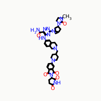 CN1CCN(C2CC3CC2N(c2nnc(C(N)=O)c(Nc4ccc5c(c4)CCN(CC4CCN(c6ccc7c(c6)C(=O)N(C6CCC(=O)NC6=O)C7=O)CC4)C5)n2)C3)C1=O